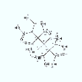 CCC(C(=O)O)C(C(=O)O)(C(=O)O)C(C(=O)O)(C(=O)O)C(C(=O)O)(C(=O)O)C(=O)O